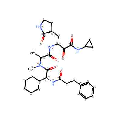 CCC[C@@H](C(=O)N[C@@H](C[C@@H]1CCNC1=O)C(=O)C(=O)NC1CC1)N(C)C(=O)[C@H](NC(=O)CCc1ccccc1)C1CCCCC1